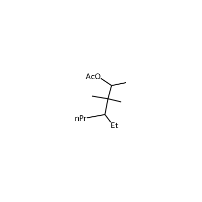 CCCC(CC)C(C)(C)C(C)OC(C)=O